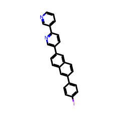 Ic1ccc(-c2ccc3cc(-c4ccc(-c5cccnc5)nc4)ccc3c2)cc1